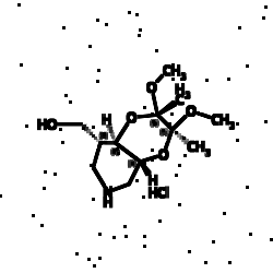 CO[C@@]1(C)O[C@@H]2[C@@H](CO)CNC[C@H]2O[C@]1(C)OC.Cl